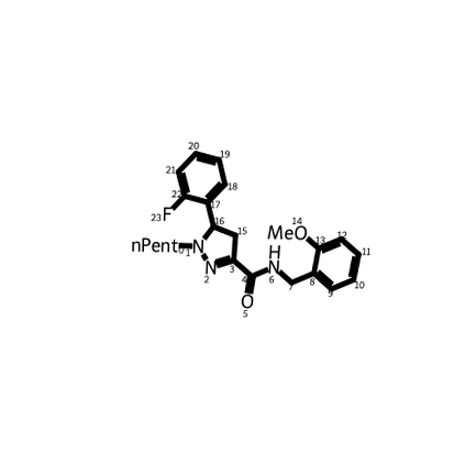 CCCCCN1N=C(C(=O)NCc2ccccc2OC)CC1c1ccccc1F